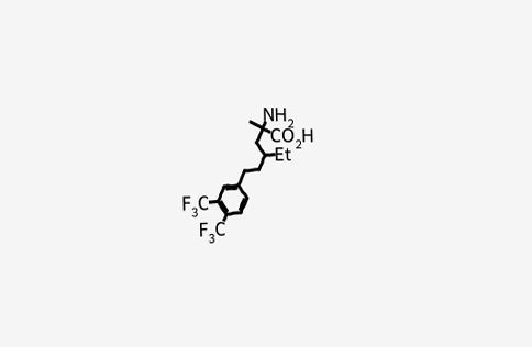 CCC(CCc1ccc(C(F)(F)F)c(C(F)(F)F)c1)CC(C)(N)C(=O)O